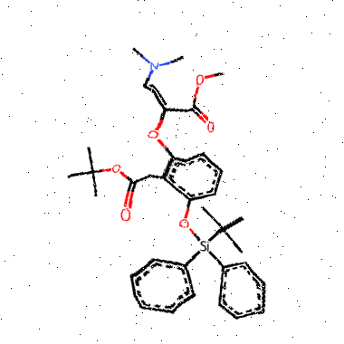 COC(=O)/C(=C\N(C)C)Oc1cccc(O[Si](c2ccccc2)(c2ccccc2)C(C)(C)C)c1C(=O)OC(C)(C)C